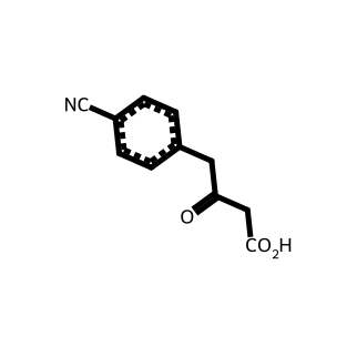 N#Cc1ccc(CC(=O)CC(=O)O)cc1